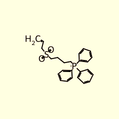 C=CCS(=O)(=O)CCCC[P](c1ccccc1)(c1ccccc1)c1ccccc1